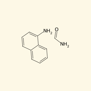 NC=O.Nc1cccc2ccccc12